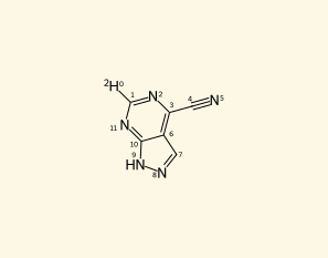 [2H]c1nc(C#N)c2cn[nH]c2n1